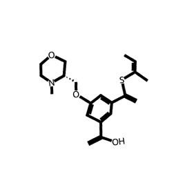 C=C(O)c1cc(OC[C@H]2COCCN2C)cc(C(=C)S/C(C)=C\C)c1